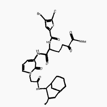 CNC(=O)C(=O)CCC(NC(=O)c1cc(Br)c(Cl)s1)C(=O)Nc1cccn(CC(=O)NC2C(C)CC3CCCC2C3)c1=O